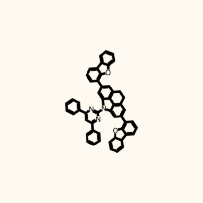 C1=CC2Oc3c(-c4cc5c6c7c(cc(-c8cccc9c8oc8ccccc89)cc7n(-c7nc(-c8ccccc8)cc(-c8ccccc8)n7)c6c4)CC5)cccc3C2C=C1